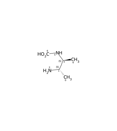 C[C@H](N)[C@H](C)NC(=O)O